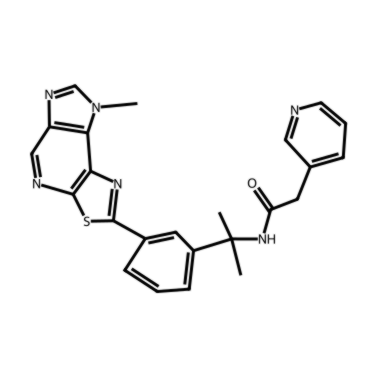 Cn1cnc2cnc3sc(-c4cccc(C(C)(C)NC(=O)Cc5cccnc5)c4)nc3c21